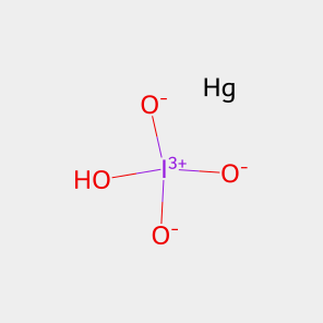 [Hg].[O-][I+3]([O-])([O-])O